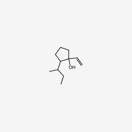 C=CC1(O)CCCC1C(C)CC